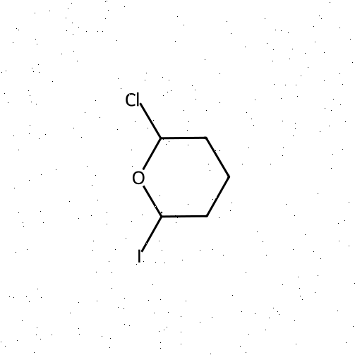 ClC1CCC[C](I)O1